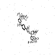 CC(C)(N)Cc1ccc(Nc2ccc(CCNC[C@H](O)c3ccc(O)c4[nH]c(=O)ccc34)cc2)cc1